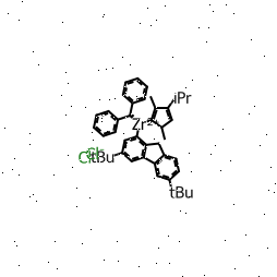 CC1=[C]([Zr+2](=[C](c2ccccc2)c2ccccc2)[c]2cc(C(C)(C)C)cc3c2Cc2ccc(C(C)(C)C)cc2-3)C(C)C=C1C(C)C.[Cl-].[Cl-]